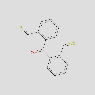 O=C(c1ccccc1C=S)c1ccccc1C=S